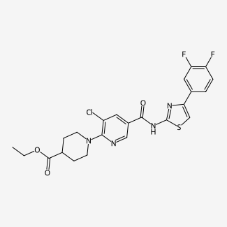 CCOC(=O)C1CCN(c2ncc(C(=O)Nc3nc(-c4ccc(F)c(F)c4)cs3)cc2Cl)CC1